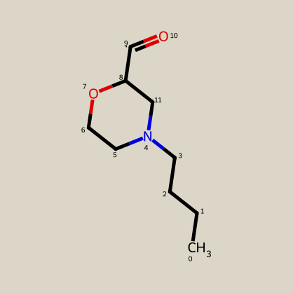 CCCCN1CCOC([C]=O)C1